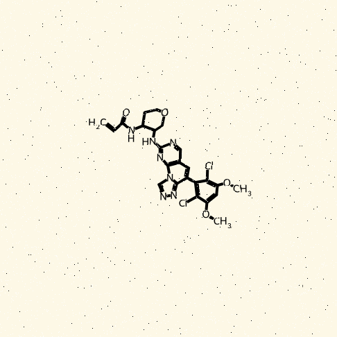 C=CC(=O)NC1CCOCC1Nc1ncc2cc(-c3c(Cl)c(OC)cc(OC)c3Cl)c3nncn3c2n1